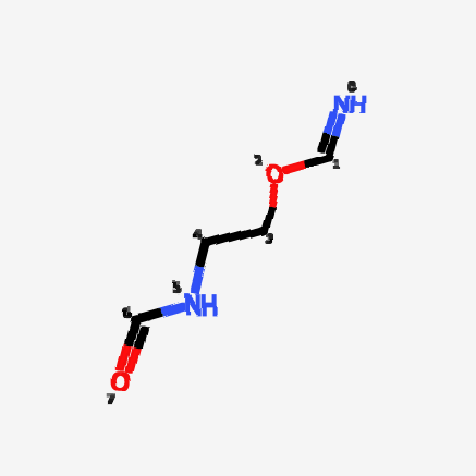 N=COCCNC=O